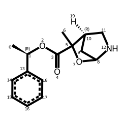 C[C@@H](OC(=O)C1(C)OC2C[C@@H]1CN2)c1ccccc1